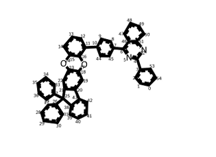 c1ccc(-c2nc(-c3ccc(-c4cccc5c4Oc4cc6c(cc4O5)C(c4ccccc4)(c4ccccc4)c4ccccc4-6)cc3)c3ccccc3n2)cc1